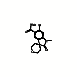 COC(=O)c1cc2c(cc1Br)N(C)C(=O)C21CCOCC1